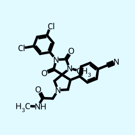 CNC(=O)CN1CC(c2ccc(C#N)cc2)C2(C1)C(=O)N(c1cc(Cl)cc(Cl)c1)C(=O)N2C